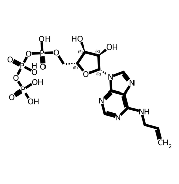 C=CCNc1ncnc2c1ncn2[C@@H]1O[C@H](COP(=O)(O)OP(=O)(O)OP(=O)(O)O)[C@@H](O)[C@H]1O